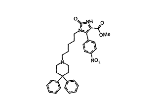 COC(=O)c1[nH]c(=O)n(CCCCCN2CCC(c3ccccc3)(c3ccccc3)CC2)c1-c1ccc([N+](=O)[O-])cc1